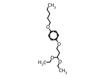 CCCCCOc1ccc(OCCC(OCC)OCC)cc1